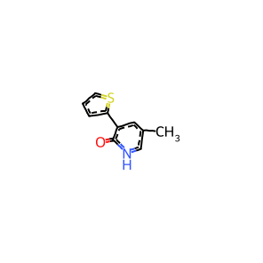 Cc1c[nH]c(=O)c(-c2cccs2)c1